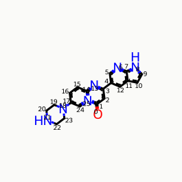 O=c1cc(-c2cnc3[nH]ccc3c2)nc2ccc(N3CCNCC3)cn12